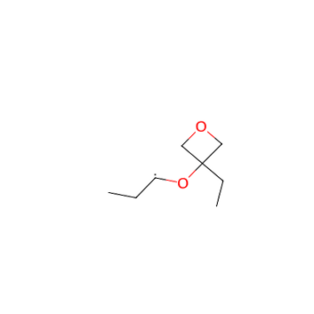 CC[CH]OC1(CC)COC1